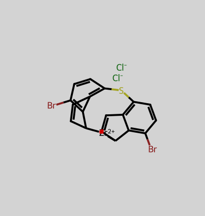 Brc1ccc2c3c1[CH](C=C3)[Zr+2][CH]1C=Cc3c(ccc(Br)c31)S2.[Cl-].[Cl-]